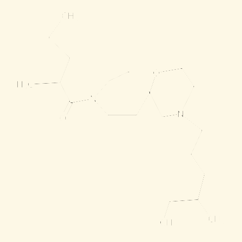 CCCC(C)C(=O)N1CCC2(CC1)CN(CCCC(C)CC)CCO2